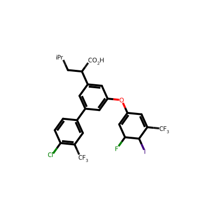 CC(C)CC(C(=O)O)c1cc(OC2=CC(F)C(I)C(C(F)(F)F)=C2)cc(-c2ccc(Cl)c(C(F)(F)F)c2)c1